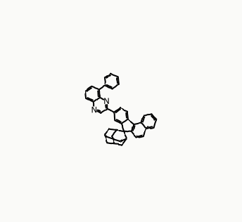 c1ccc(-c2cccc3ncc(-c4ccc5c(c4)C4(c6ccc7ccccc7c6-5)C5CC6CC(C5)CC4C6)nc23)cc1